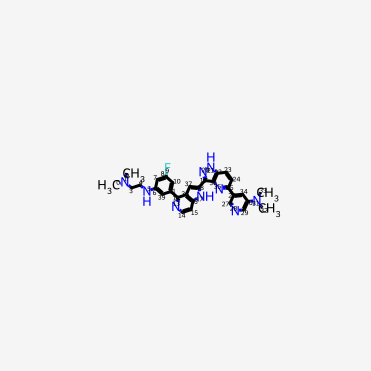 CN(C)CCNc1cc(F)cc(-c2nccc3[nH]c(-c4n[nH]c5ccc(-c6cncc(N(C)C)c6)nc45)cc23)c1